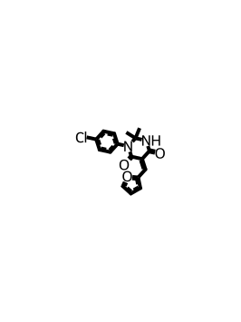 CC1(C)NC(=O)C(=Cc2ccco2)C(=O)N1c1ccc(Cl)cc1